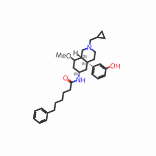 COC1C[C@H](NC(=O)CCCCCc2ccccc2)C[C@]2(c3cccc(O)c3)CCN(CC3CC3)C[C@@H]12